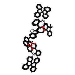 CC1(C)c2ccccc2-c2ccc(N(c3ccc4c(c3)C3(c5ccccc5-c5ccccc53)c3ccccc3-4)c3ccccc3-c3cccc4c3oc3cc(-c5cccc6c5C(C)(C)c5cc(N(c7ccc8c(c7)C7(c9ccccc9-c9ccccc97)c7ccccc7-8)c7ccccc7-c7ccc8sc9ccccc9c8c7)ccc5-6)ccc34)cc21